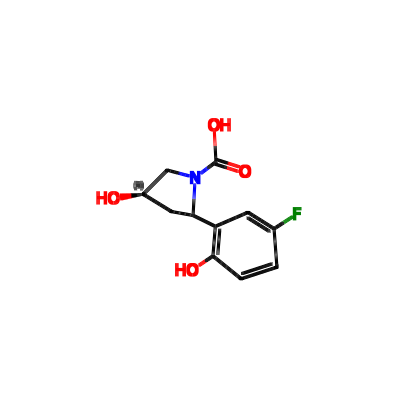 O=C(O)N1C[C@H](O)CC1c1cc(F)ccc1O